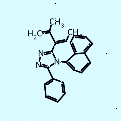 C=C(C)/C(=C\C)c1nnc(-c2ccccc2)n1-c1cccc2ccccc12